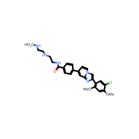 COc1cc(OC)c(-c2cn3ccc(-c4ccc(C(=O)NCCNCCNC(=O)O)cc4)cc3n2)cc1Cl